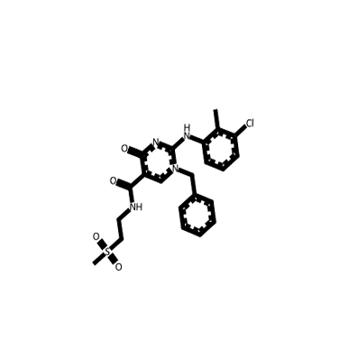 Cc1c(Cl)cccc1Nc1nc(=O)c(C(=O)NCCS(C)(=O)=O)cn1Cc1ccccc1